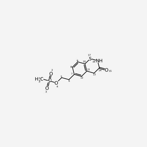 CS(=O)(=O)OCCc1ccc2c(c1)CC(=O)NS2